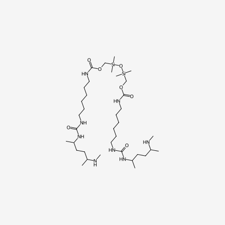 CNC(C)CCC(C)NC(=O)NCCCCCCNC(=O)OC[Si](C)(C)O[Si](C)(C)COC(=O)NCCCCCCNC(=O)NC(C)CCC(C)NC